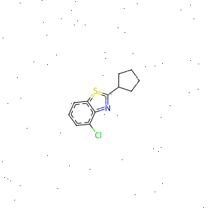 Clc1cccc2sc(C3CCCC3)nc12